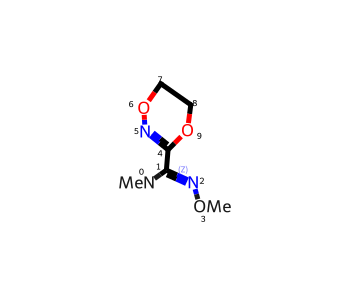 CN/C(=N\OC)C1=NOCCO1